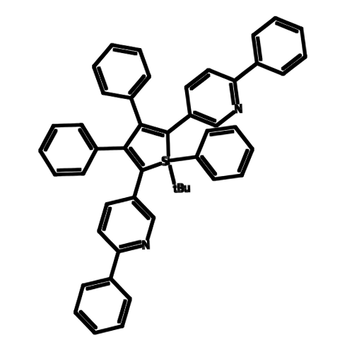 CC(C)(C)[Si]1(c2ccccc2)C(c2ccc(-c3ccccc3)nc2)=C(c2ccccc2)C(c2ccccc2)=C1c1ccc(-c2ccccc2)nc1